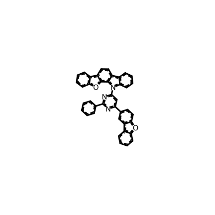 c1ccc(-c2nc(-c3ccc4oc5ccccc5c4c3)cc(-n3c4ccccc4c4ccc5c6ccccc6oc5c43)n2)cc1